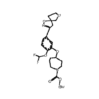 CC(C)(C)OC(=O)N1CCC(Oc2cc(C3=NOC4(CCOC4)C3)ccc2OC(F)F)CC1